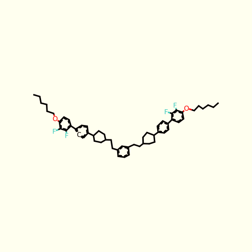 CCCCCCOc1ccc(-c2ccc(C3CCC(CCc4cccc(CCC5CCC(c6ccc(-c7ccc(OCCCCCC)c(F)c7F)cc6)CC5)c4)CC3)cc2)c(F)c1F